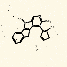 Cc1ccc2c(c3c(n2C)-c2ccccc2C3)c1C1=[C]([Zr+2])CC=C1.[Cl-].[Cl-]